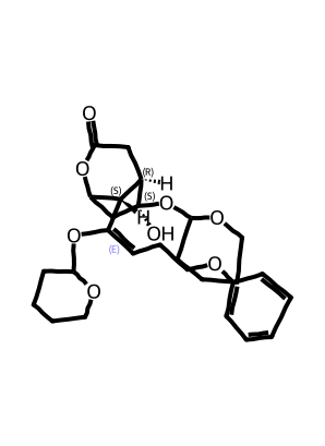 O=C1C[C@@H]2[C@H](/C(=C\CCOc3ccccc3)OC3CCCCO3)C(C[C@]2(O)OC2CCCCO2)O1